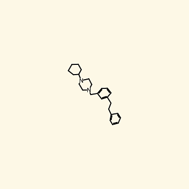 c1ccc(CCc2cccc(CN3CCN(C4CCCCC4)CC3)c2)cc1